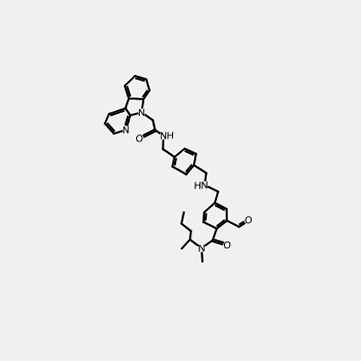 CCCC(C)N(C)C(=O)c1ccc(CNCc2ccc(CNC(=O)Cn3c4ccccc4c4cccnc43)cc2)cc1C=O